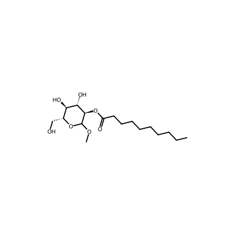 CCCCCCCCCC(=O)O[C@H]1C(OC)O[C@H](CO)[C@@H](O)[C@@H]1O